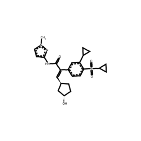 Cn1ccc(NC(=O)/C(=C/[C@H]2CC[C@H](O)C2)c2ccc(S(=O)(=O)C3CC3)c(C3CC3)c2)n1